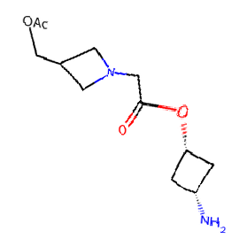 CC(=O)OCC1CN(CC(=O)O[C@H]2C[C@@H](N)C2)C1